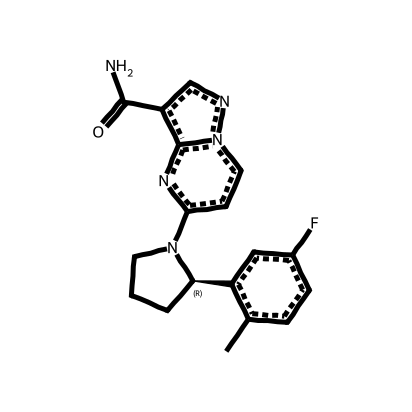 Cc1ccc(F)cc1[C@H]1CCCN1c1ccn2ncc(C(N)=O)c2n1